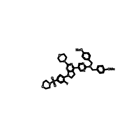 COc1ccc(CN(Cc2ccc(OC)cc2)c2ncc(-c3nc(N4CCOCC4)nc4c3CCN4c3ccc(S(=O)(=O)N4CCOCC4)cc3F)cn2)cc1